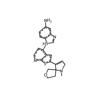 CN1CC=C(c2cc3c([SH]4C=Nc5cc(N)ccc54)ccnc3s2)C12CCOC2